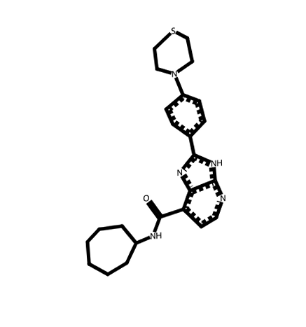 O=C(NC1CCCCCC1)c1ccnc2[nH]c(-c3ccc(N4CCSCC4)cc3)nc12